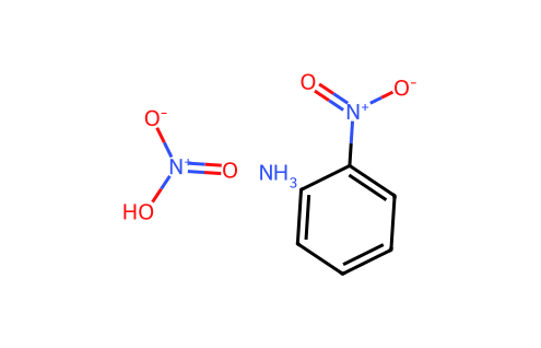 N.O=[N+]([O-])O.O=[N+]([O-])c1ccccc1